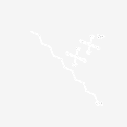 CCCCCCCCCCCCO.O=S(=O)([O-])[O-].O=S(=O)([O-])[O-].[Zr+4]